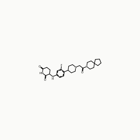 O=C1CCC(Nc2ccc(C3CCN(CC(=O)N4CCC5(CCCC5)CC4)CC3)c(F)c2)C(=O)N1